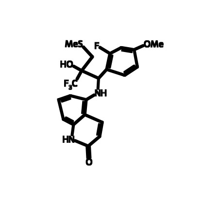 COc1ccc(C(Nc2cccc3[nH]c(=O)ccc23)C(O)(CSC)C(F)(F)F)c(F)c1